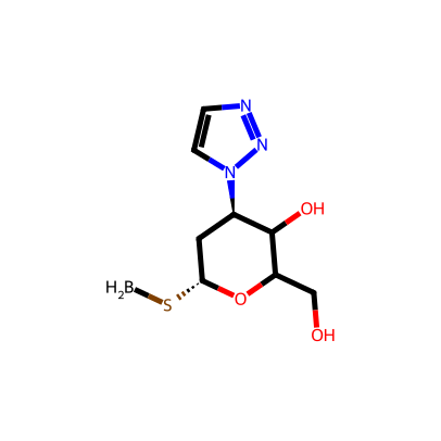 BS[C@@H]1C[C@@H](n2ccnn2)C(O)C(CO)O1